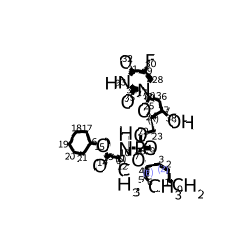 C=C/C=C\C(=C/C)OP(=O)(N[C@@H](C)C(=O)OC1CCCCC1)OC[C@H]1O[C@@H](n2cc(F)c(=O)[nH]c2=O)CC1O